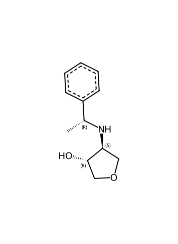 C[C@@H](N[C@H]1COC[C@@H]1O)c1ccccc1